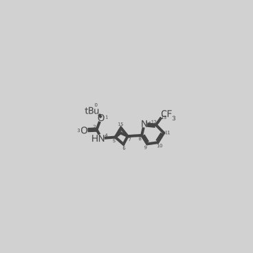 CC(C)(C)OC(=O)NC12CC(c3cccc(C(F)(F)F)n3)(C1)C2